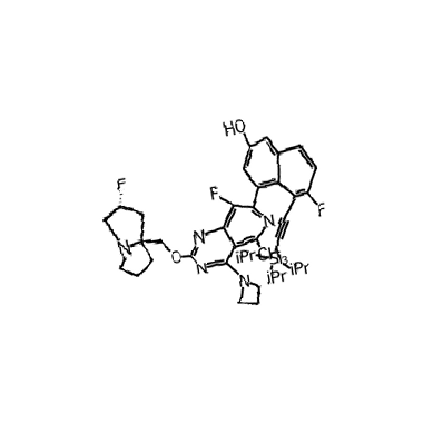 Cc1nc(-c2cc(O)cc3ccc(F)c(C#C[Si](C(C)C)(C(C)C)C(C)C)c23)c(F)c2nc(OC[C@@]34CCCN3C[C@H](F)C4)nc(N3CCC3)c12